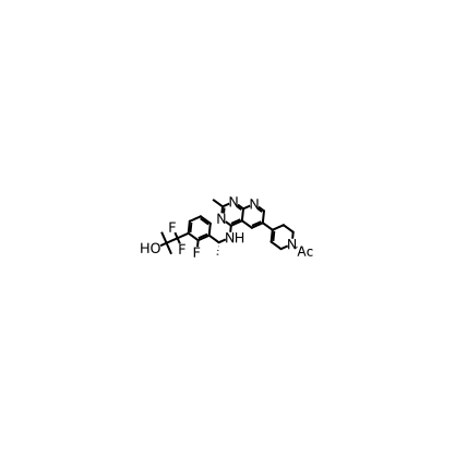 CC(=O)N1CC=C(c2cnc3nc(C)nc(N[C@H](C)c4cccc(C(F)(F)C(C)(C)O)c4F)c3c2)CC1